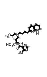 CCOCCN(CCCCc1ccc2c(n1)NCCC2)CCC(NC(=O)c1ncoc1C(C)(C)C)C(=O)O